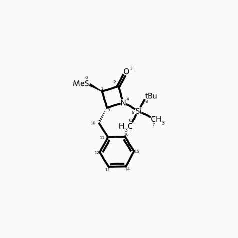 CS[C@H]1C(=O)N([Si](C)(C)C(C)(C)C)[C@@H]1Cc1ccccc1